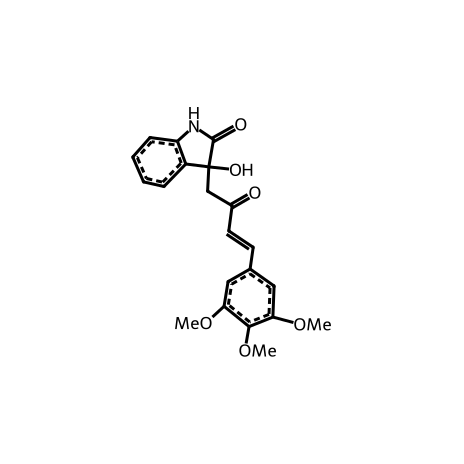 COc1cc(/C=C/C(=O)CC2(O)C(=O)Nc3ccccc32)cc(OC)c1OC